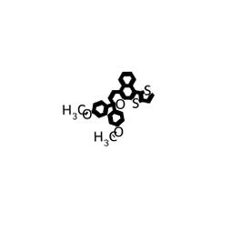 COc1ccc(C2(c3ccc(OC)cc3)C=Cc3c(c4sc5ccsc5c4c4ccccc34)O2)cc1